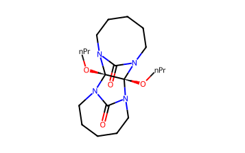 CCCO[C@]12N3CCCCCN(C3=O)[C@@]1(OCCC)N1CCCCCN2C1=O